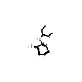 CCC(CC)Oc1ccccc1O